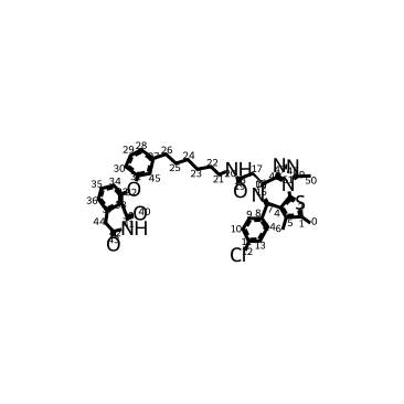 Cc1sc2c(c1C)C(c1ccc(Cl)cc1)=N[C@@H](CC(=O)NCCCCCCc1cccc(Oc3cccc4c3C(=O)NC(=O)C4)c1)c1nnc(C)n1-2